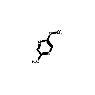 Cc1cnc(OC(F)(F)F)cn1